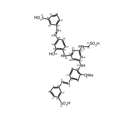 COc1cc(N=Nc2cccc(S(=O)(=O)O)c2)ccc1Nc1nc(NCS(=O)(=O)O)nc(Nc2ccc(N=Nc3cccc(S(=O)(=O)O)c3)cc2O)n1